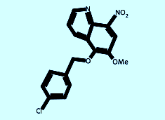 COc1cc([N+](=O)[O-])c2ncccc2c1OCc1ccc(Cl)cc1